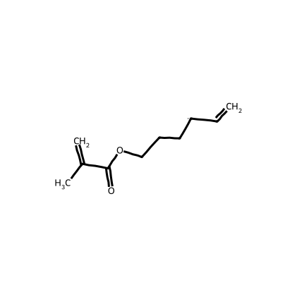 C=C[CH]CCCOC(=O)C(=C)C